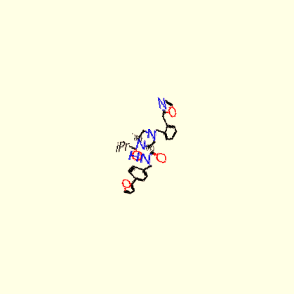 CC(C)C(=O)N1[C@H](C)CN(Cc2ccccc2Cc2ncco2)C[C@@H]1C(=O)NCc1ccc(-c2ccco2)cc1